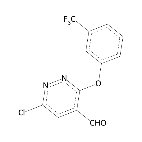 O=Cc1cc(Cl)nnc1Oc1cccc(C(F)(F)F)c1